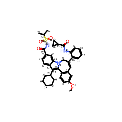 COc1ccc2c(c1)C=C(c1ccccc1NC(=O)C1CC1)Cn1c-2c(C2CCCCC2)c2ccc(C(=O)NS(=O)(=O)C(C)C)cc21